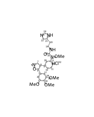 COc1cc(-c2oncc2-c2cccc(N(OC)C(=O)NCCc3cnc[nH]3)c2)cc(OC)c1OC.Cl